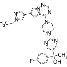 CCn1cc(-c2cc3c(N4CCN(c5ncc(C(C)(O)c6ccc(F)cc6)cn5)CC4)ncnn3c2)cn1